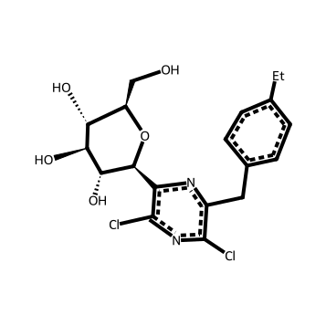 CCc1ccc(Cc2nc([C@@H]3O[C@H](CO)[C@@H](O)[C@H](O)[C@H]3O)c(Cl)nc2Cl)cc1